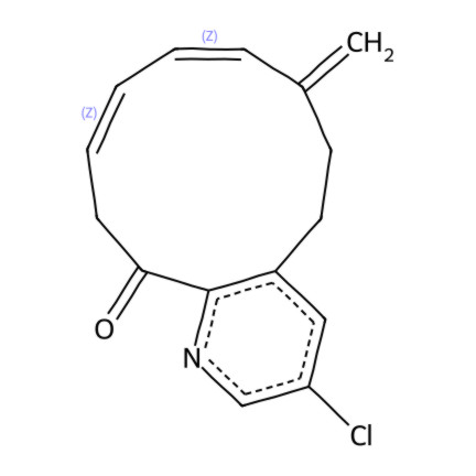 C=C1/C=C\C=C/CC(=O)c2ncc(Cl)cc2CC1